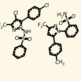 Cc1ccc(-c2cc(C(F)(F)F)nn2-c2ccccc2S(N)(=O)=O)cc1.O=S(=O)(Nn1nc(C(F)(F)F)c(Cl)c1-c1ccc(Cl)cc1)c1ccccc1